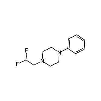 FC(F)CN1CCN(c2[c]cccc2)CC1